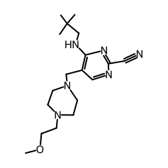 COCCN1CCN(Cc2cnc(C#N)nc2NCC(C)(C)C)CC1